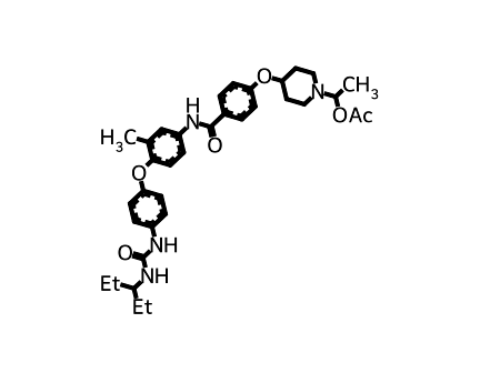 CCC(CC)NC(=O)Nc1ccc(Oc2ccc(NC(=O)c3ccc(OC4CCN(C(C)OC(C)=O)CC4)cc3)cc2C)cc1